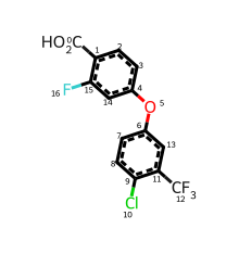 O=C(O)c1ccc(Oc2ccc(Cl)c(C(F)(F)F)c2)cc1F